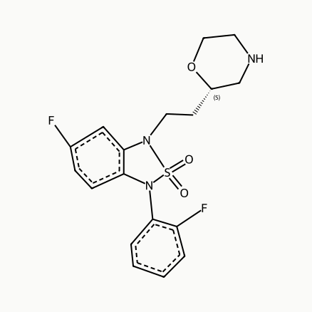 O=S1(=O)N(CC[C@H]2CNCCO2)c2cc(F)ccc2N1c1ccccc1F